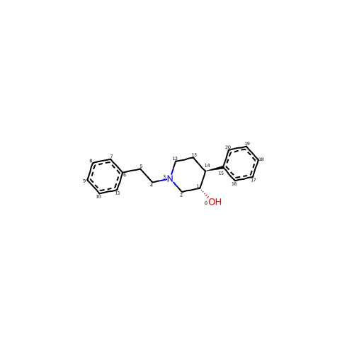 O[C@@H]1CN(CCc2ccccc2)CC[C@H]1c1ccccc1